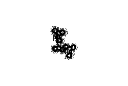 c1ccc(-n2c3ccccc3c3ccc4c(ncc5c6ccccc6n(-c6ccc7c(c6)nc6c8ccccc8c8ccccc8n76)c54)c32)cc1